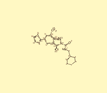 O=C(NCC1CCCCC1)c1nn2c(C(F)(F)F)cc(-c3cccs3)nc2c1Cl